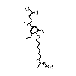 CCc1cc(OCC=C(Cl)Cl)cc(CC)c1OCCCCCCOC(C)=NO